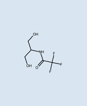 O=C(NC(CO)CO)C(F)(F)F